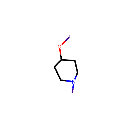 IOC1CCN(I)CC1